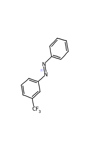 FC(F)(F)c1cccc(/N=N/c2ccccc2)c1